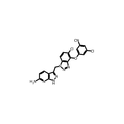 [C-]#[N+]c1cc(Cl)cc(Oc2c(Cl)ccc3c2nnn3Cc2n[nH]c3nc(N)ccc23)c1